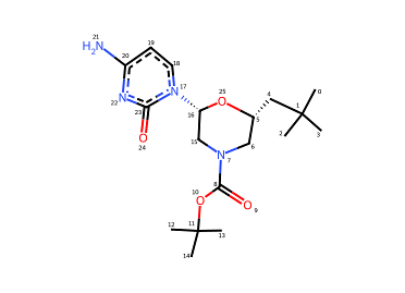 CC(C)(C)C[C@@H]1CN(C(=O)OC(C)(C)C)C[C@H](n2ccc(N)nc2=O)O1